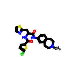 CN1CCc2ccc(NC(=O)C(Cc3nccs3)NC(=O)c3ccc(Cl)s3)cc2CC1